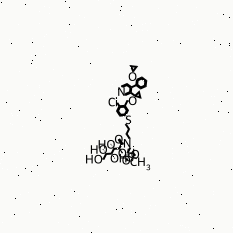 CS(=O)(=O)CCN(CCCCSc1ccc(Cl)c(COC2(c3cnccc3-c3ccccc3OC3CC3)CC2)c1)C(=O)[C@@H](O)[C@@H](O)[C@H](O)[C@@H](O)CO